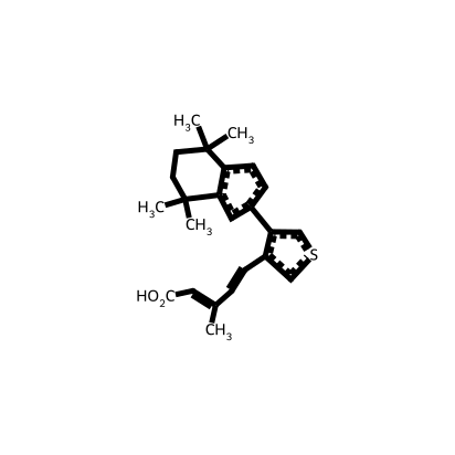 CC(C=Cc1cscc1-c1ccc2c(c1)C(C)(C)CCC2(C)C)=CC(=O)O